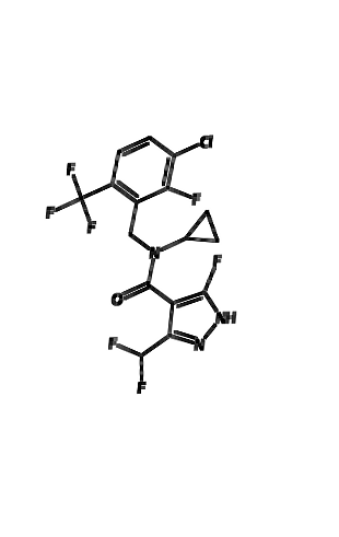 O=C(c1c(C(F)F)n[nH]c1F)N(Cc1c(C(F)(F)F)ccc(Cl)c1F)C1CC1